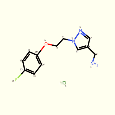 Cl.NCc1cnn(CCOc2ccc(F)cc2)c1